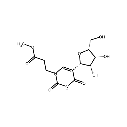 COC(=O)CCn1cc([C@@H]2O[C@H](CO)[C@H](O)[C@@H]2O)c(=O)[nH]c1=O